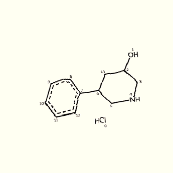 Cl.OC1CNCC(c2ccccc2)C1